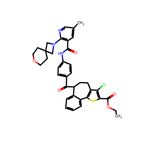 CCOC(=O)c1sc2c(c1Cl)CCC(C(=O)c1ccc(NC(=O)c3cc(C)cnc3N3CC4(CCOCC4)C3)cc1)c1ccccc1-2